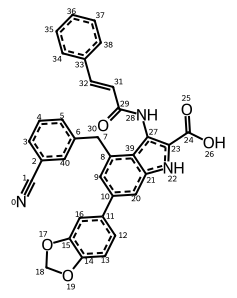 N#Cc1cccc(Cc2cc(-c3ccc4c(c3)OCO4)cc3[nH]c(C(=O)O)c(NC(=O)C=Cc4ccccc4)c23)c1